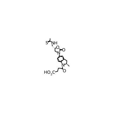 CC(=S)NC[C@H]1CN(c2ccc3c(c2)C[C@@H](C)N3C(=O)CCC(=O)O)C(=O)O1